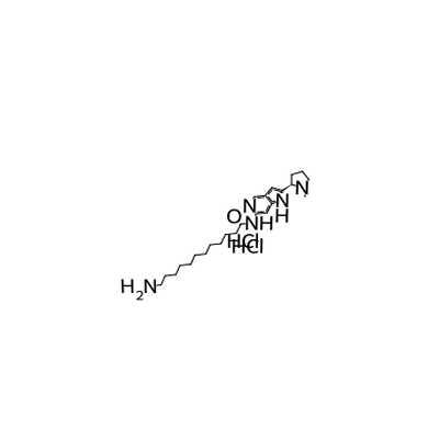 CN1CCC[C@@H]1c1cc2cnc(NC(=O)CCCCCCCCCCCN)cc2[nH]1.Cl.Cl